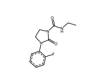 CCNC(=O)N1CCN(c2ccccc2F)C1=O